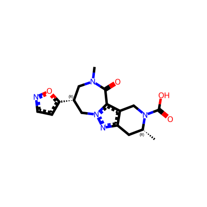 C[C@@H]1Cc2nn3c(c2CN1C(=O)O)C(=O)N(C)C[C@@H](c1ccno1)C3